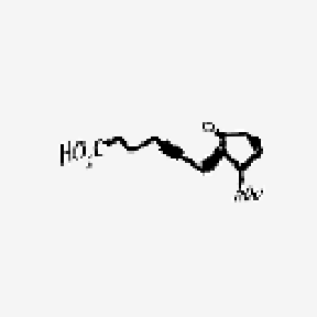 CCCCC1C=CC(=O)C1=CC#CCCCC(=O)O